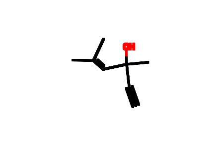 C#CC(C)(O)C=C(C)C